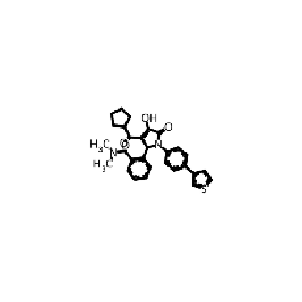 CN(C)C(=O)c1ccccc1C1C(C(=O)C2CCCC2)=C(O)C(=O)N1c1ccc(-c2ccsc2)cc1